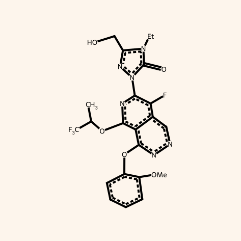 CCn1c(CO)nn(-c2nc(OC(C)C(F)(F)F)c3c(Oc4ccccc4OC)nncc3c2F)c1=O